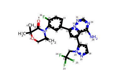 C=C1COC(C)(C)C(=O)N1c1cc(-c2cc(-c3ccnn3CC(F)(F)F)c3c(N)ncnn23)ccc1F